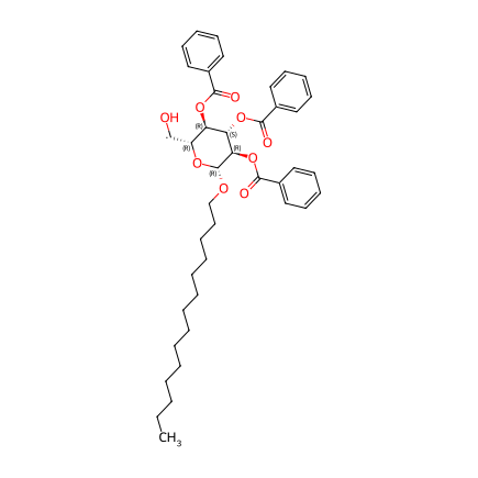 CCCCCCCCCCCCCCO[C@@H]1O[C@H]([CH]O)[C@@H](OC(=O)c2ccccc2)[C@H](OC(=O)c2ccccc2)[C@H]1OC(=O)c1ccccc1